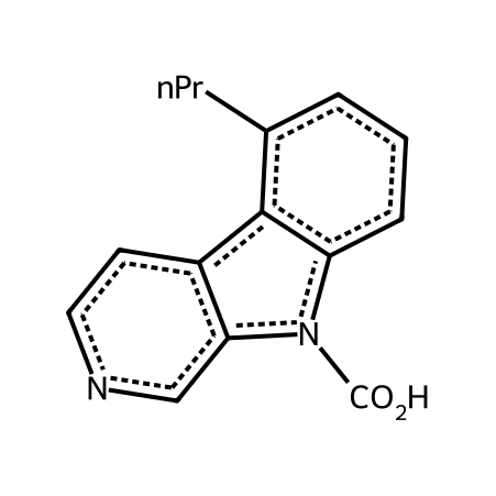 CCCc1cccc2c1c1ccncc1n2C(=O)O